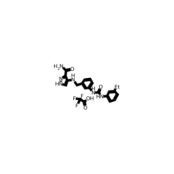 CCc1cccc(NC(=O)Nc2cccc(CNc3c[nH]nc3C(N)=O)c2)c1.O=C(O)C(F)(F)F